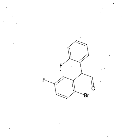 O=CC(c1ccccc1F)c1cc(F)ccc1Br